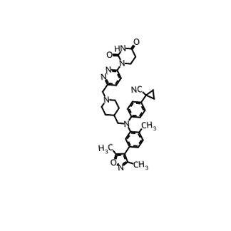 Cc1ccc(-c2c(C)noc2C)cc1N(CC1CCN(Cc2ccc(N3CCC(=O)NC3=O)nn2)CC1)c1ccc(C2(C#N)CC2)cc1